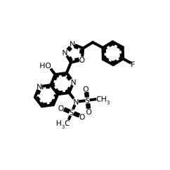 CS(=O)(=O)N(c1nc(-c2nnc(Cc3ccc(F)cc3)o2)c(O)c2ncccc12)S(C)(=O)=O